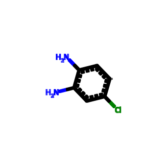 Nc1c[c]c(Cl)cc1N